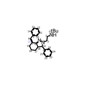 CC(C)(C)NCCN1N=C2/C(=C\c3ccccc3)CCCC2C1c1ccccc1